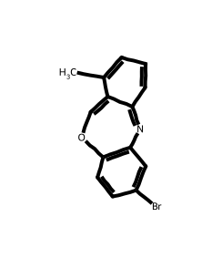 Cc1cccc2c1=COc1ccc(Br)cc1N=2